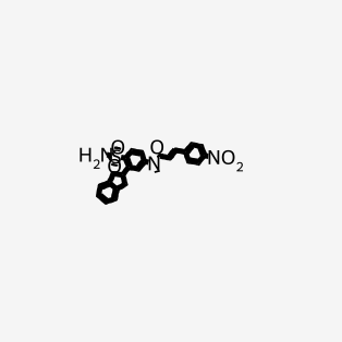 CN(C(=O)C=Cc1ccc([N+](=O)[O-])cc1)c1ccc(S(N)(=O)=O)c(C2Cc3ccccc3C2)c1